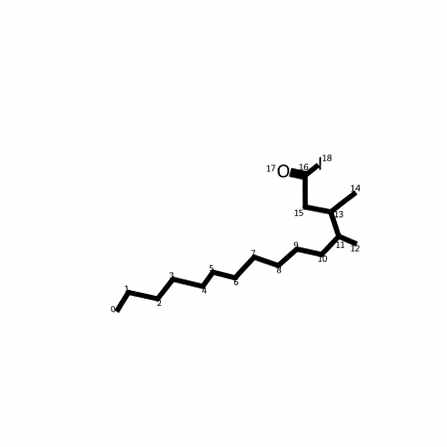 CCCCCCCCCCCC(C)C(C)CC(=O)I